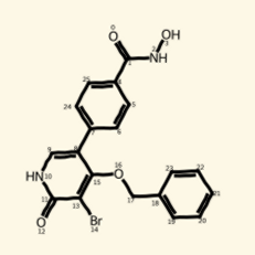 O=C(NO)c1ccc(-c2c[nH]c(=O)c(Br)c2OCc2ccccc2)cc1